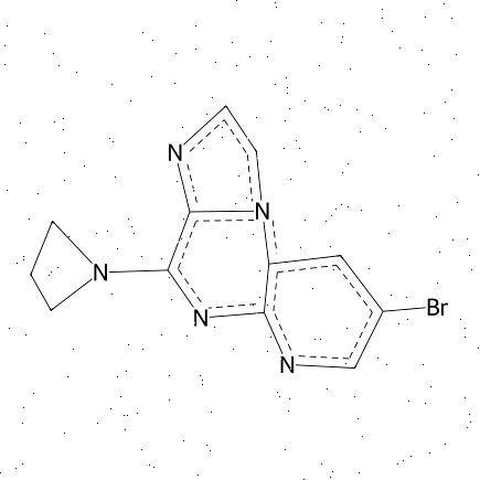 Brc1cnc2nc(N3CCC3)c3nccn3c2c1